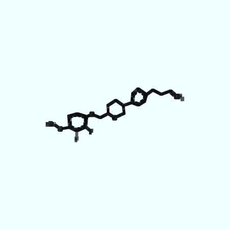 C=CCCc1ccc(C2CCC(COc3ccc(OCCCC)c(F)c3F)OC2)cc1